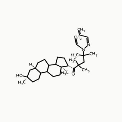 C=C/C=N\N(C=C)C(C)(C)CC(C)(C)C(=O)[C@H]1CCC2C3CC[C@@H]4C[C@](C)(O)CCC4C3CC[C@@]21C